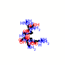 CC(C)[C@H](NC(=O)[C@H](CCCCN)NC(=O)[C@H](CCC(=O)O)NC(=O)[C@@H](NC(=O)[C@@H]1CCCN1C(=O)[C@H](CCCNC(=N)N)NC(=O)[C@@H](N)CO)[C@@H](C)O)C(=O)N[C@@H](CCCNC(=N)N)C(=O)O